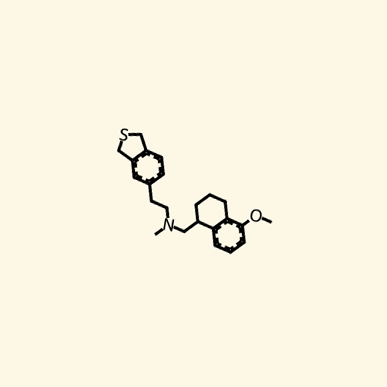 COc1cccc2c1CCCC2CN(C)CCc1ccc2c(c1)CSC2